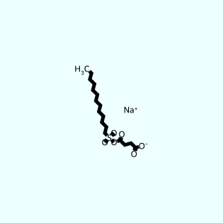 CCCCCCCCCCCCCS(=O)(=O)OC(=O)CCC(=O)[O-].[Na+]